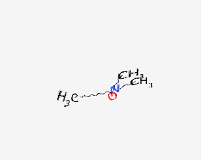 CCCCCCCCCCC(=O)N(CCCC)CCCC